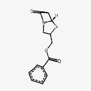 O=C(OCC1CN2C(=O)C[C@@H]2S1)c1ccccc1